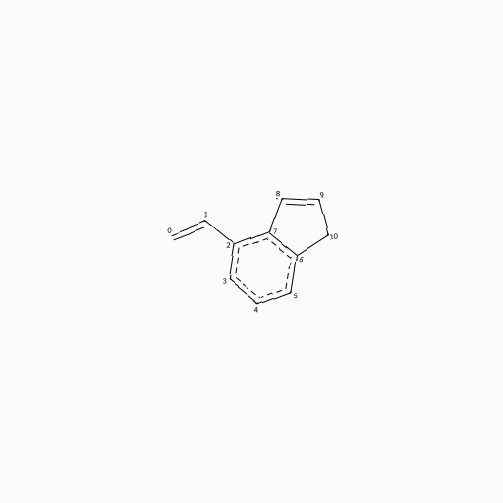 C=Cc1cccc2c1[C]=CC2